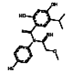 C=C(c1cc(C(C)C)c(O)cc1O)N(C(=N)COC)c1ccc(S)cc1